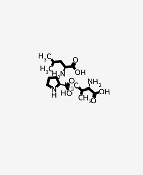 CC(C)C[C@H](N)C(=O)O.CC(C)[C@H](N)C(=O)O.O=C(O)[C@@H]1CCCN1